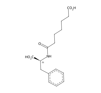 O=C(O)CCCCCC(=O)N[C@@H](Cc1ccccc1)C(=O)O